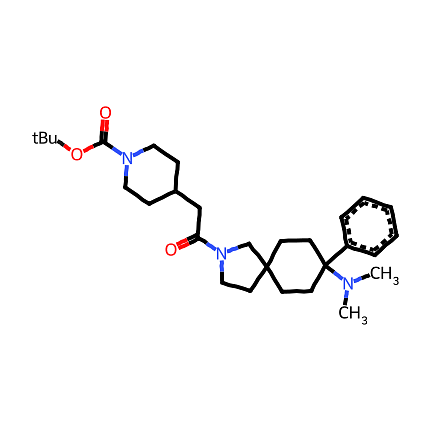 CN(C)C1(c2ccccc2)CCC2(CCN(C(=O)CC3CCN(C(=O)OC(C)(C)C)CC3)C2)CC1